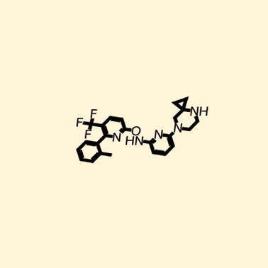 Cc1ccccc1-c1nc(ONc2cccc(N3CCNC4(CC4)C3)n2)ccc1C(F)(F)F